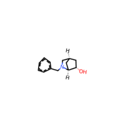 O[C@H]1C[C@H]2C[C@@H]1N(Cc1ccccc1)C2